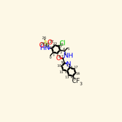 Cc1cc(C(C)NC(=O)c2ccc3cc(C(F)(F)F)ccc3n2)c(Cl)cc1NS(C)(=O)=O